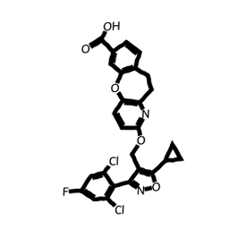 O=C(O)c1ccc2c(c1)Oc1ccc(OCc3c(-c4c(Cl)cc(F)cc4Cl)noc3C3CC3)nc1CC2